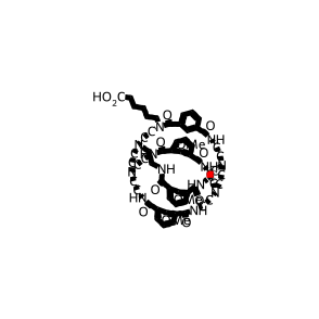 COc1c2cccc1C(=O)NCCN1CCNC(=O)c3cccc(c3OC)C(=O)NCCN(CCNC2=O)CCN2CCNC(=O)c3cccc(c3)C(=O)N(CCCCCC(=O)O)CCN(CCNC(=O)c3cccc(c3OC)C(=O)NCC2)CC1